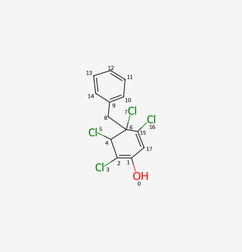 OC1=C(Cl)C(Cl)C(Cl)(Cc2ccccc2)C(Cl)=C1